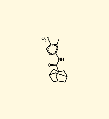 Cc1cc(NC(=O)C23CC4CC(CC(C4)C2)C3)ccc1[N+](=O)[O-]